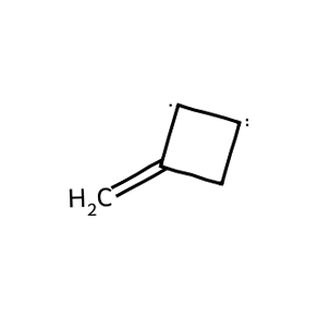 C=C1[CH][C]C1